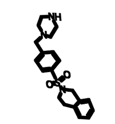 O=S(=O)(c1ccc(CN2CCNCC2)cc1)N1CCc2ccccc2C1